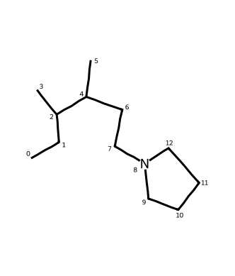 CCC(C)C(C)CCN1CCCC1